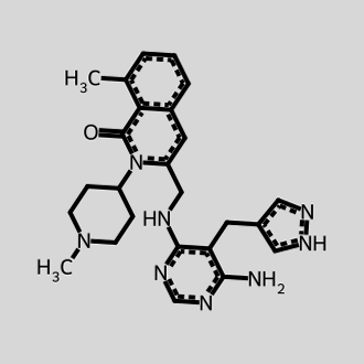 Cc1cccc2cc(CNc3ncnc(N)c3Cc3cn[nH]c3)n(C3CCN(C)CC3)c(=O)c12